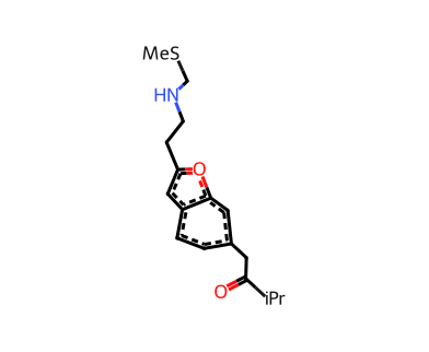 CSCNCCc1cc2ccc(CC(=O)C(C)C)cc2o1